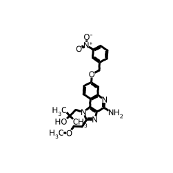 COCCc1nc2c(N)nc3cc(OCc4cccc([N+](=O)[O-])c4)ccc3c2n1CC(C)(C)O